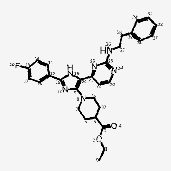 CCOC(=O)C1CCN(c2nc(-c3ccc(F)cc3)[nH]c2-c2ccnc(NCCc3ccccc3)n2)CC1